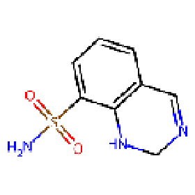 NS(=O)(=O)c1cccc2c1NCN=C2